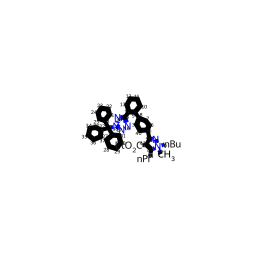 CCCC[N+]1(C)N=C(c2ccc(-c3ccccc3-c3nnn(C(c4ccccc4)(c4ccccc4)c4ccccc4)n3)cc2)C(C(=O)OCC)=C1CCC